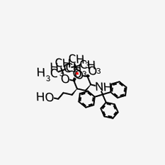 CC(C)(C)OC(=O)[C@H](CCCO)C[C@H](NC(c1ccccc1)(c1ccccc1)c1ccccc1)C(=O)OC(C)(C)C